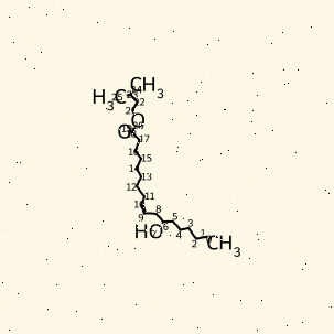 CCCCCC[C@@H](O)C/C=C\CCCCCCCC(=O)OCCC(C)C